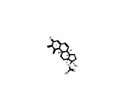 C=C1C(=C)[C@@]2(C)C(=CC1=O)C=C[C@@H]1[C@@H]2CC[C@@]2(C)[C@H]1CC[C@]2(OC(=O)CC)C(C)=O